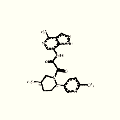 Cc1ccc([C@H]2CC[C@@H](C)CN2C(=O)C(=O)Nc2cnc(N)c3cn[nH]c23)cn1